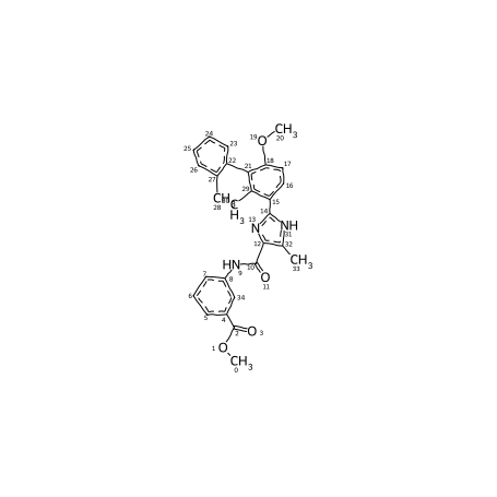 COC(=O)c1cccc(NC(=O)c2nc(-c3ccc(OC)c(-c4ccccc4C)c3C)[nH]c2C)c1